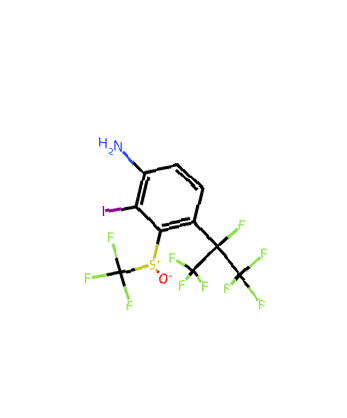 Nc1ccc(C(F)(C(F)(F)F)C(F)(F)F)c([S+]([O-])C(F)(F)F)c1I